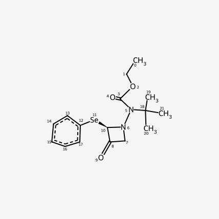 CCOC(=O)N(N1CC(=O)[C@H]1[Se]c1ccccc1)C(C)(C)C